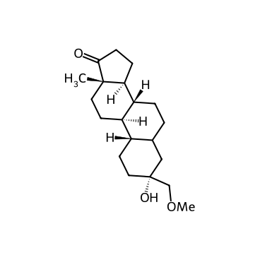 COC[C@@]1(O)CC[C@H]2C(CC[C@@H]3[C@@H]2CC[C@]2(C)C(=O)CC[C@@H]32)C1